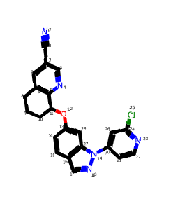 N#Cc1cnc2c(c1)CCCC2Oc1ccc2cnn(-c3ccnc(Cl)c3)c2c1